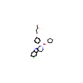 O=C(OC1CCCC1)N1CCc2c([nH]c3ccc(Cl)cc23)[C@@H]1c1ccc(OCC[C@H](O)CO)cc1